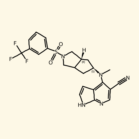 CN(c1c(C#N)cnc2[nH]ccc12)[C@H]1CC2CN(S(=O)(=O)c3cccc(C(F)(F)F)c3)C[C@@H]2C1